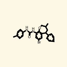 Cc1ccc(NC(=O)Nc2cc(Br)cc3c2OCC(C)CC3c2ccccc2)cc1